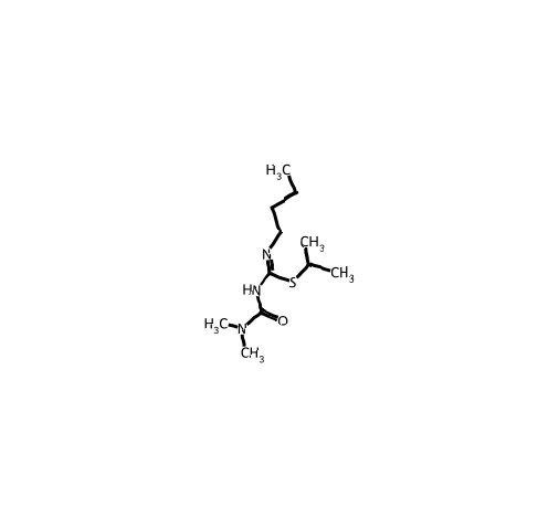 CCCCN=C(NC(=O)N(C)C)SC(C)C